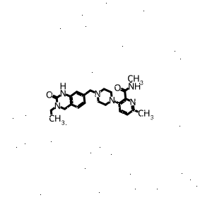 CCN1Cc2ccc(CN3CCN(c4ccc(C)nc4C(=O)NC)CC3)cc2NC1=O